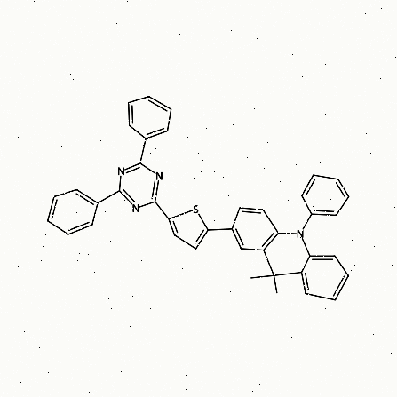 CC1(C)c2ccccc2N(c2ccccc2)c2ccc(-c3ccc(-c4nc(-c5ccccc5)nc(-c5ccccc5)n4)s3)cc21